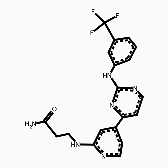 NC(=O)CCNc1cc(-c2ccnc(Nc3cccc(C(F)(F)F)c3)n2)ccn1